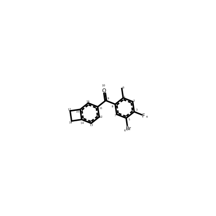 Cc1cc(F)c(Br)cc1C(=O)c1ccc2c(c1)CC2